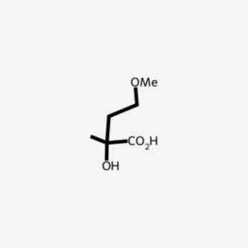 COCCC(C)(O)C(=O)O